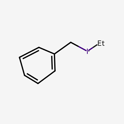 CC[I]Cc1ccccc1